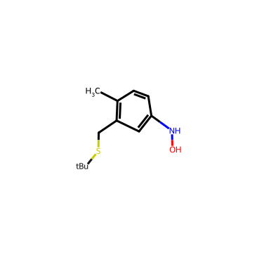 Cc1ccc(NO)cc1CSC(C)(C)C